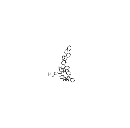 C=C/C=C\[C@@H](C)n1c2cc(-c3ccc4oc5c(ccc6c7ccccc7oc65)c4c3)ccc2c2ccc(N3c4ccccc4NC3c3ccccc3)cc21